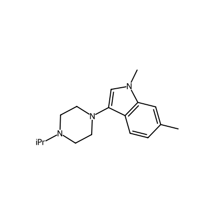 Cc1ccc2c(N3CCN(C(C)C)CC3)cn(C)c2c1